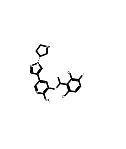 CC(Oc1cc(-c2cnn([C@@H]3CCNC3)c2)cnc1N)c1c(Cl)ccc(F)c1Cl